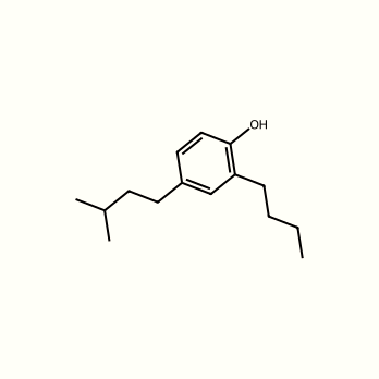 CCCCc1cc(CCC(C)C)ccc1O